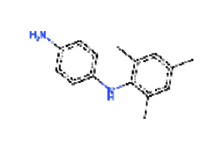 Cc1cc(C)c(Nc2ccc(N)cc2)c(C)c1